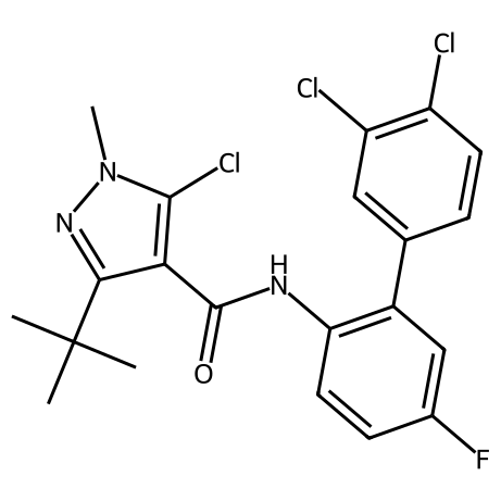 Cn1nc(C(C)(C)C)c(C(=O)Nc2ccc(F)cc2-c2ccc(Cl)c(Cl)c2)c1Cl